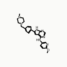 COc1ccc(Nc2ncnc3[nH]c(-c4ccc(CN5CCN(C)CC5)cc4)cc23)cn1